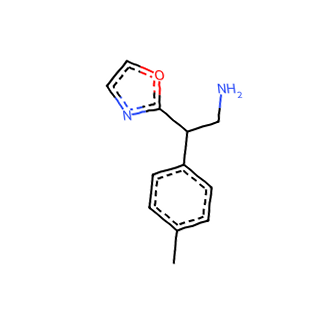 Cc1ccc(C(CN)c2ncco2)cc1